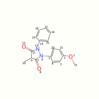 COc1ccc(N2C(=O)C(C)C(=O)N2c2ccccc2)cc1